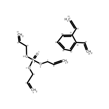 C=CCOP(=O)(OCC=C)OCC=C.C=Cc1ccccc1C=C